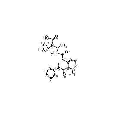 CC(CC(=O)Nc1cccc(Cl)c1C(=O)Nc1ccccc1)N(C(=O)O)C(C)(C)C